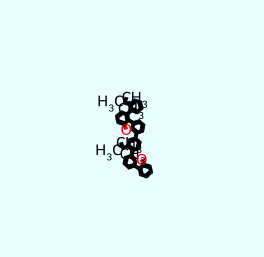 CC(C)(C)c1cc(-c2cccc3c2oc2cccc(-c4ccccc4C(C)(C)C)c23)ccc1-c1cccc2c1oc1ccccc12